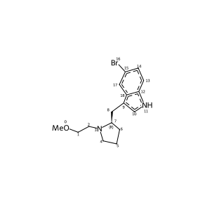 COCCN1CCC[C@@H]1Cc1c[nH]c2ccc(Br)cc12